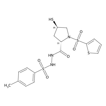 Cc1ccc(S(=O)(=O)NNC(=O)[C@@H]2C[C@@H](S)CN2S(=O)(=O)c2cccs2)cc1